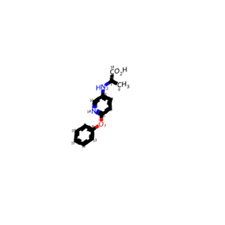 CC(Nc1ccc(Oc2ccccc2)nc1)C(=O)O